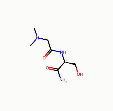 CN(C)CC(=O)N[C@@H](CO)C(N)=O